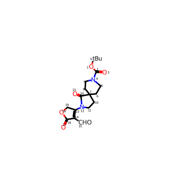 CC(C)(C)OC(=O)N1CCC2(CC1)CCN(C1=C(C=O)C(=O)OC1)C2=O